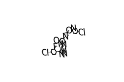 Cn1nnc(-c2ccc(Cl)cc2F)c1Cn1ncc(N2CC(Oc3ccc(Cl)cn3)C2)cc1=O